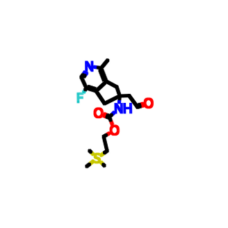 Cc1ncc(F)c2c1CC(CC=O)(NC(=O)OCCS(C)(C)C)C2